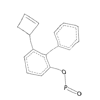 O=POc1cccc(C2C=CC2)c1-c1ccccc1